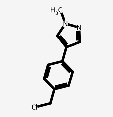 Cn1cc(-c2ccc(CCl)cc2)cn1